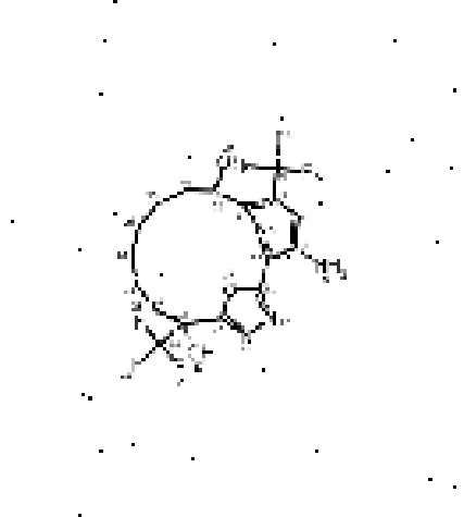 Nc1cc(C(F)(F)F)c2nc1-c1nnc(o1)[C@@](O)(C(F)(F)F)CCCCCC[S+]2[O-]